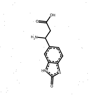 NC(CC(=O)O)c1ccc2sc(=O)[nH]c2c1